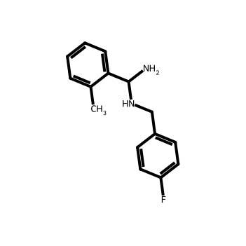 Cc1ccccc1C(N)NCc1ccc(F)cc1